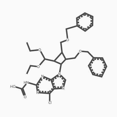 CCOC(OCC)C1C(COCc2ccccc2)C(COCc2ccccc2)C1n1cnc2c(Cl)nc(NC(=O)O)nc21